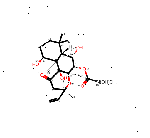 C=C[C@@]1(C)CC(=O)[C@]2(O)[C@@]3(C)[C@@H](O)CCC(C)(C)[C@@H]3[C@H](O)[C@H](OC(=O)N(C)O)[C@@]2(C)O1